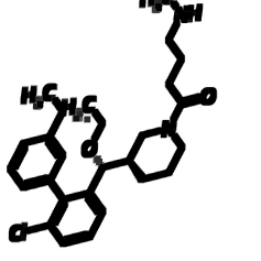 [CH2]CO[C@@H](c1cccc(Cl)c1-c1cccc(CC)c1)[C@@H]1CCCN(C(=O)CCCNC)C1